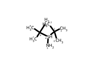 CC(C)(C)[SH](N)C(C)(C)C